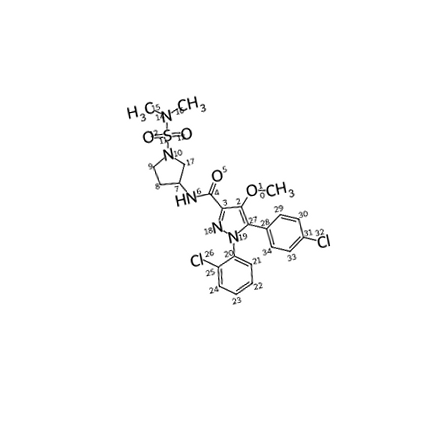 COc1c(C(=O)NC2CCN(S(=O)(=O)N(C)C)C2)nn(-c2ccccc2Cl)c1-c1ccc(Cl)cc1